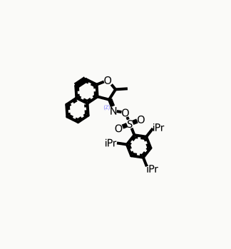 CC1Oc2c#cc3ccccc3c2/C1=N/OS(=O)(=O)c1c(C(C)C)cc(C(C)C)cc1C(C)C